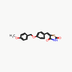 COc1ccc(COc2ccc(C=C3SC(=O)NC3=O)cc2)cc1